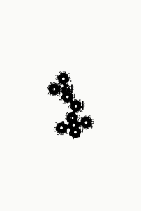 c1ccc(-c2c3ccccc3c(-c3ccccc3)c3cc(-c4cncc(-c5ccc6c(c5)nc(-c5ccccc5)n6-c5ccccc5)c4)ccc23)cc1